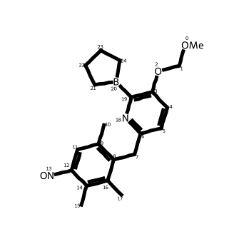 COCOc1ccc(Cc2c(C)cc(N=O)c(C)c2C)nc1B1CCCC1